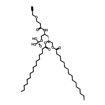 C#CCOCCC(=O)NC(COP(=O)(O)O)C[C@H](COC(=O)CCCCCCCCCCCCCCC)OC(=O)CCCCCCCCCCCCCCC